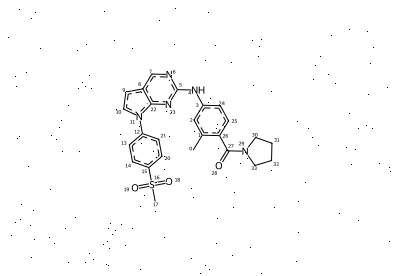 Cc1cc(Nc2ncc3ccn(-c4ccc(S(C)(=O)=O)cc4)c3n2)ccc1C(=O)N1CCCC1